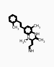 C=C(Nc1ccc(/C=C/c2ccccc2C)cc1C)/C(=C/C=N)NC